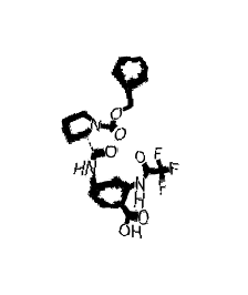 O=C(O)c1ccc(NC(=O)[C@@H]2CCCN2C(=O)OCc2ccccc2)cc1NC(=O)C(F)(F)F